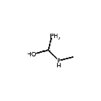 CPC(O)P